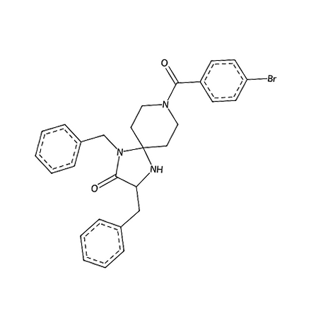 O=C(c1ccc(Br)cc1)N1CCC2(CC1)NC(Cc1ccccc1)C(=O)N2Cc1ccccc1